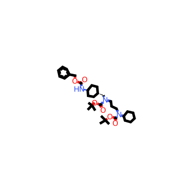 CC(C)(C)OC(=O)N(CCCN(C(=O)OC(C)(C)C)C1CCCCC1)C[C@H]1CC[C@H](NC(=O)OCc2ccccc2)CC1